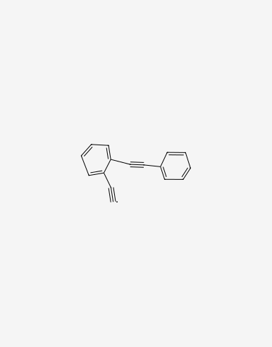 [C]#Cc1ccccc1C#Cc1ccccc1